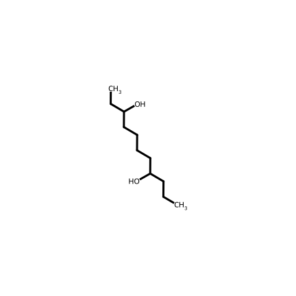 CCCC(O)CCCCC(O)CC